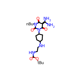 CCCCN1C(=O)C(=C(N)N)C(=O)N(C2CCC(NCCNC(=O)OC(C)(C)C)CC2)C1=O